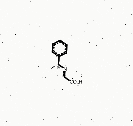 C[C@@H](N=CC(=O)O)c1ccccc1